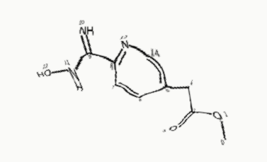 COC(=O)Cc1ccc(C(=N)NO)nc1